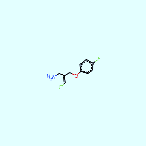 NCC(=CF)COc1ccc(F)cc1